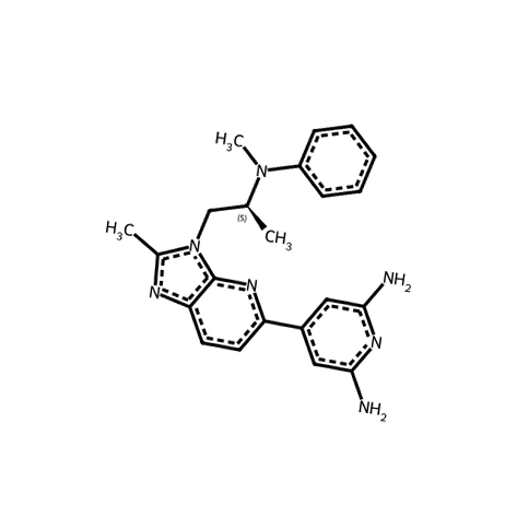 Cc1nc2ccc(-c3cc(N)nc(N)c3)nc2n1C[C@H](C)N(C)c1ccccc1